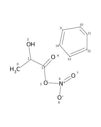 CC(O)C(=O)O[N+](=O)[O-].c1ccccc1